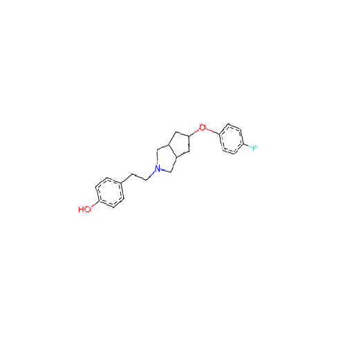 Oc1ccc(CCN2CC3CC(Oc4ccc(F)cc4)CC3C2)cc1